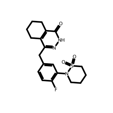 O=c1[nH]nc(Cc2ccc(F)c(N3CCCCS3(=O)=O)c2)c2c1CCCC2